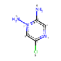 Nc1cnc(Cl)c[n+]1N